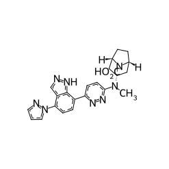 CN(c1ccc(-c2ccc(-n3cccn3)c3cn[nH]c23)nn1)[C@H]1C[C@H]2CC[C@@H](C1)N2C(=O)O